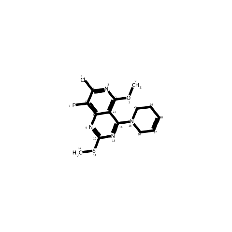 COc1nc(Cl)c(F)c2nc(SC)nc(N3CC=CCC3)c12